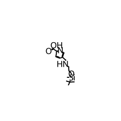 CC(C)(C)[Si](C)(C)OCCNCc1ccc(C(=O)O)nc1